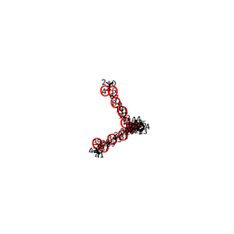 C=C(C)C(=O)OCCOCCOCCOC1=CC2=CC=C1C21c2ccc(cc2OCCOCCOCCOC(=O)C(=C)C)C1C